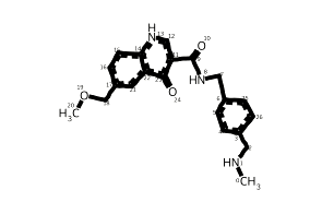 CNCc1ccc(CNC(=O)c2c[nH]c3ccc(COC)cc3c2=O)cc1